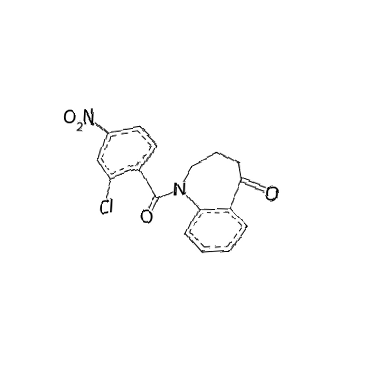 O=C1CCCN(C(=O)c2ccc([N+](=O)[O-])cc2Cl)c2ccccc21